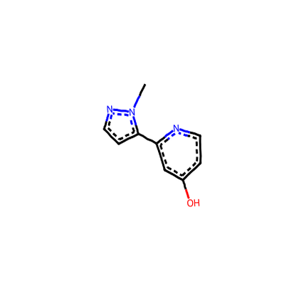 Cn1nccc1-c1cc(O)ccn1